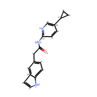 O=C(Cc1ccc2[nH]ccc2c1)Nc1ccc(C2CC2)cn1